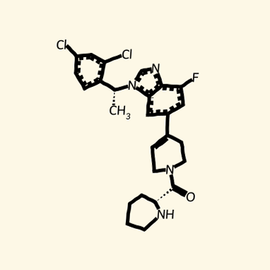 C[C@H](c1ccc(Cl)cc1Cl)n1cnc2c(F)cc(C3=CCN(C(=O)[C@H]4CCCCN4)CC3)cc21